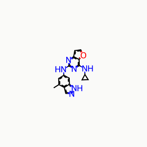 Cc1cc(Nc2nc(NC3CC3)c3occc3n2)cc2[nH]ncc12